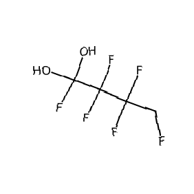 OC(O)(F)C(F)(F)C(F)(F)CF